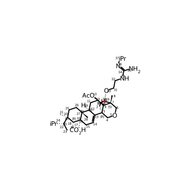 CC(=O)O[C@@H]1C[C@@]23COC[C@](C)([C@@H]2CC[C@H]2C3=CC[C@@]3(C)[C@H](C(=O)O)[C@@](C)([C@H](C)C(C)C)CC[C@]23C)[C@H]1OCCNC(N)=NC(C)C